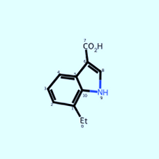 CCc1cccc2c(C(=O)O)c[nH]c12